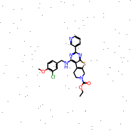 CCOC(=O)N1CCc2c(sc3nc(-c4cccnc4)nc(NCc4ccc(OC)c(Cl)c4)c23)C1